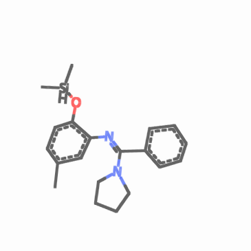 Cc1ccc(O[SiH](C)C)c(N=C(c2ccccc2)N2CCCC2)c1